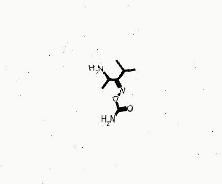 CC(C)C(=NOC(N)=O)C(C)N